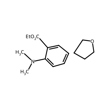 C1CCOC1.CCOC(=O)c1ccccc1N(C)C